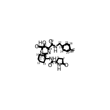 O=C1CC[C@H](C(=O)NC23CCC(CC2)Cn2c3nc(C(=O)NCc3ccc(F)cc3)c(O)c2=O)N1